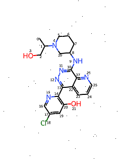 CC(CO)N1CCCC(Nc2nnc(-c3ncc(Cl)cc3O)c3cccnc23)C1